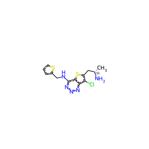 C[C@H](N)Cc1sc2c(NCc3cccs3)nnnc2c1Cl